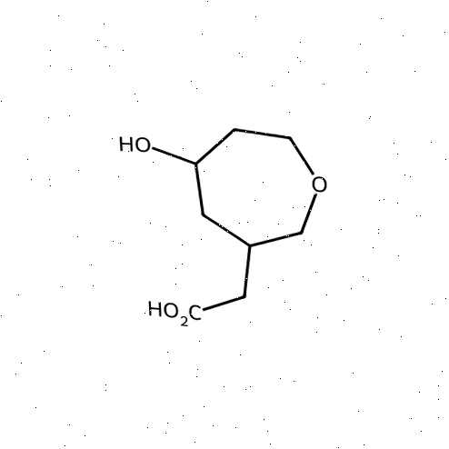 O=C(O)CC1COCCC(O)C1